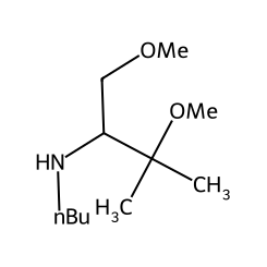 CCCCNC(COC)C(C)(C)OC